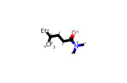 CCC(CCC(=O)N(C)C)C(F)(F)F